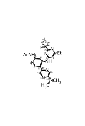 CCc1cc(Nc2cc(NC(C)=O)ncc2-c2cnc(N(C)C)cn2)nc(C(C)(F)F)n1